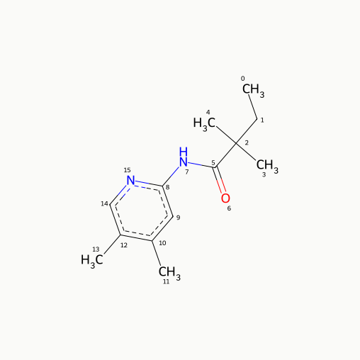 CCC(C)(C)C(=O)Nc1cc(C)c(C)cn1